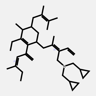 C=C/C(CN(CC1CC1)CC1CC1)=C(\C)CC1CC(CC(C)=C(C)C)C(C)C(CC)=C1C(=C)/C=C(/C)CC